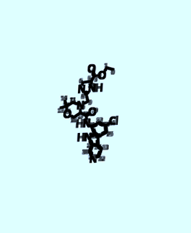 CCOC(=O)C1CN=C(CN2CC(C)(C)OCC2C(=O)Nc2cc(Cl)cc3c2[nH]c2cnccc23)N1